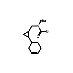 CCCCN(CC1CC1C1CC=CCC1)C(=O)CC